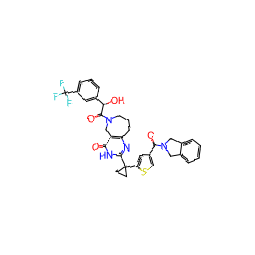 O=C(c1csc(C2(c3nc4c(c(=O)[nH]3)CN(C(=O)[C@H](O)c3cccc(C(F)(F)F)c3)CCC4)CC2)c1)N1Cc2ccccc2C1